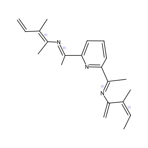 C=C/C(C)=C(C)/N=C(\C)c1cccc(/C(C)=N/C(=C)/C(C)=C\C)n1